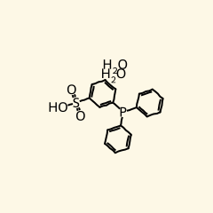 O.O.O=S(=O)(O)c1cccc(P(c2ccccc2)c2ccccc2)c1